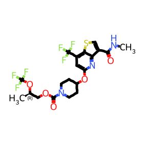 CNC(=O)c1csc2c(C(F)(F)F)cc(OC3CCN(C(=O)OC[C@@H](C)OC(F)(F)F)CC3)nc12